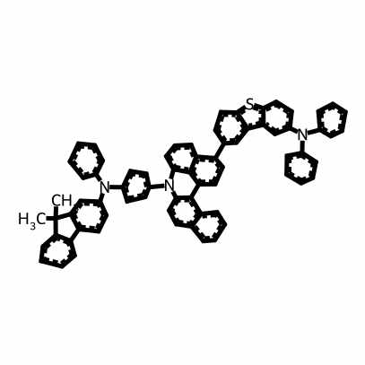 CC1(C)c2ccccc2-c2ccc(N(c3ccccc3)c3ccc(N4c5ccc6ccccc6c5-c5ccc(-c6ccc7sc8ccc(N(c9ccccc9)c9ccccc9)cc8c7c6)c6cccc4c56)cc3)cc21